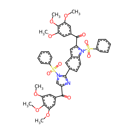 COc1cc(C(=O)c2cn(S(=O)(=O)c3ccccc3)c(-c3ccc4c(c3)cc(C(=O)c3cc(OC)c(OC)c(OC)c3)n4S(=O)(=O)c3ccccc3)n2)cc(OC)c1OC